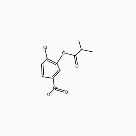 CC(C)C(=O)Oc1cc([N+](=O)[O-])ccc1Cl